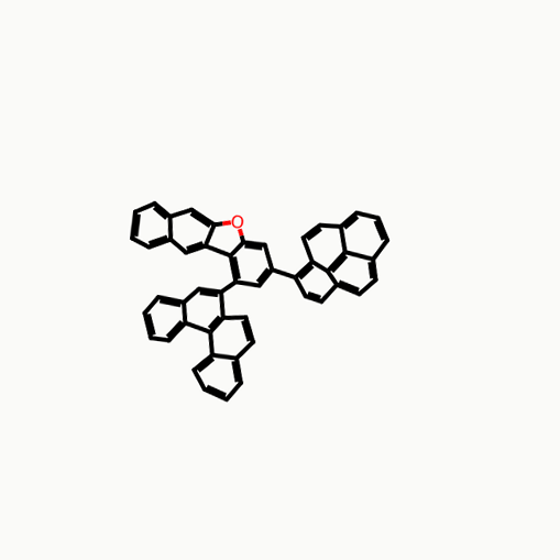 c1ccc2cc3c(cc2c1)oc1cc(-c2ccc4ccc5cccc6ccc2c4c56)cc(-c2cc4ccccc4c4c2ccc2ccccc24)c13